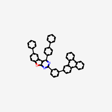 c1ccc(-c2ccc(-c3nc(-c4cccc(-c5ccc6c7ccccc7c7ccccc7c6c5)c4)nc4oc5ccc(-c6ccccc6)cc5c34)cc2)cc1